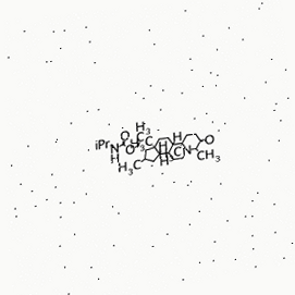 CC(C)NC(=O)OC(C)[C@H]1C(C)C[C@H]2[C@@H]3CCN4C(C)C(=O)CC[C@]4(C)[C@H]3CC[C@]12C